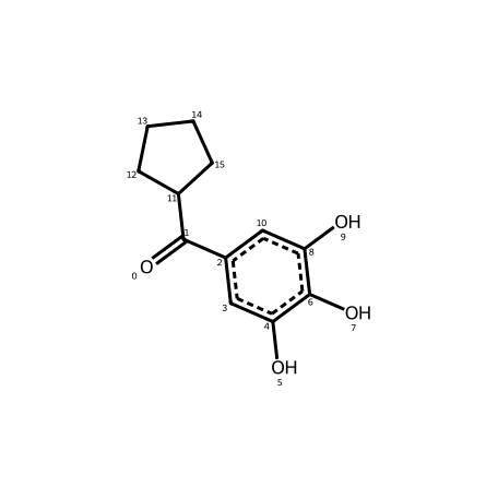 O=C(c1cc(O)c(O)c(O)c1)C1CCCC1